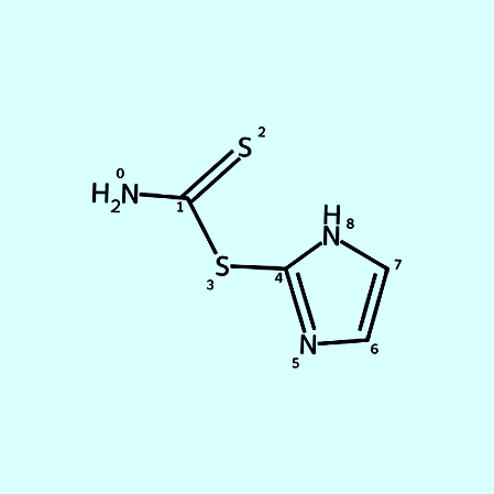 NC(=S)Sc1ncc[nH]1